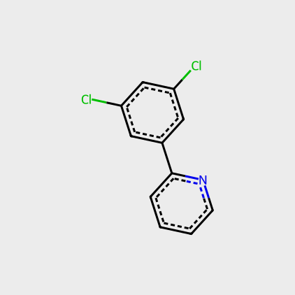 Clc1cc(Cl)cc(-c2ccccn2)c1